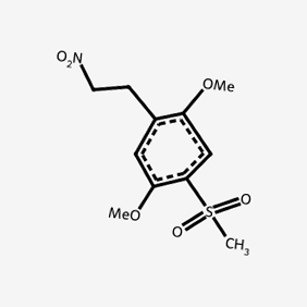 COc1cc(S(C)(=O)=O)c(OC)cc1CC[N+](=O)[O-]